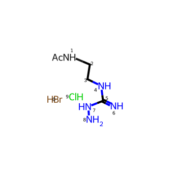 Br.CC(=O)NCCNC(=N)NN.Cl